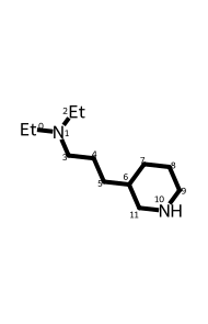 CCN(CC)CCCC1CCCNC1